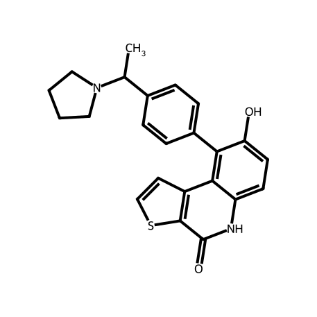 CC(c1ccc(-c2c(O)ccc3[nH]c(=O)c4sccc4c23)cc1)N1CCCC1